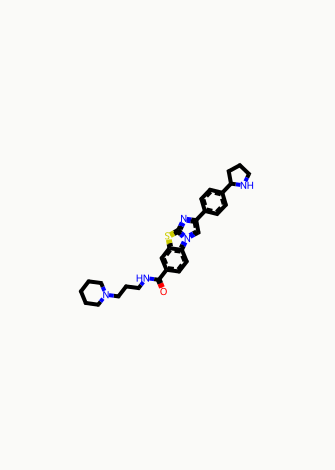 O=C(NCCCN1CCCCC1)c1ccc2c(c1)sc1nc(-c3ccc(C4CCCN4)cc3)cn12